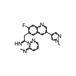 C/N=c1/cccnn1C(=N)Cc1cc2cc(-c3cnn(C)c3)cnc2cc1F